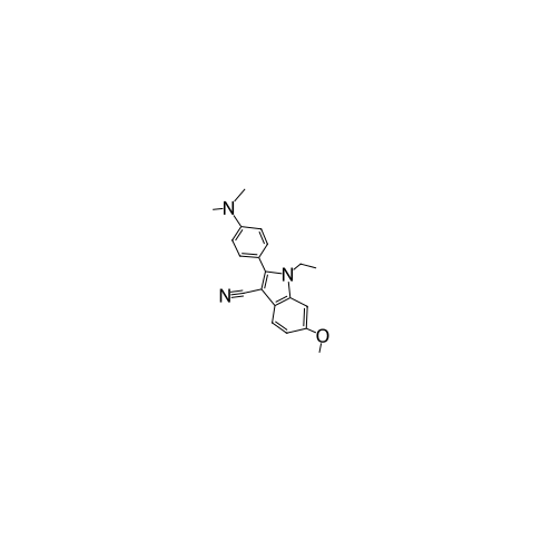 CCn1c(-c2ccc(N(C)C)cc2)c(C#N)c2ccc(OC)cc21